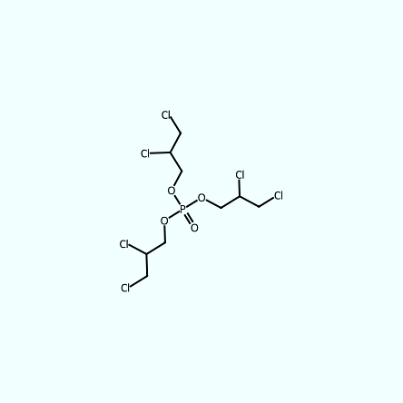 O=P(OCC(Cl)CCl)(OCC(Cl)CCl)OCC(Cl)CCl